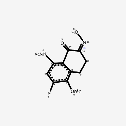 COc1c(F)cc(NC(C)=O)c2c1CC/C(=N/O)C2=O